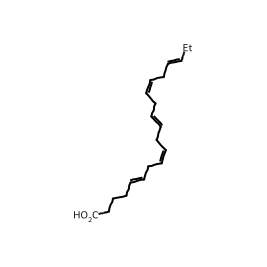 CC/C=C/C/C=C\C/C=C/C/C=C\C/C=C/CCCC(=O)O